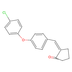 O=C1CCCC1=Cc1ccc(Oc2ccc(Cl)cc2)cc1